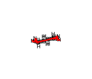 CN(C)[C@@H]1CCCN([C@H]2Cc3c(C#N)cc(Cl)cc3[C@@H]2Oc2ccc(S(=O)(=O)NCCOCCOCCNC(=O)NCCCCNC(=O)NCCOCCOCCNS(=O)(=O)c3ccc(O[C@H]4c5cc(Cl)cc(C#N)c5C[C@@H]4N4CCC[C@@H](N(C)C)C4)cc3)cc2)C1